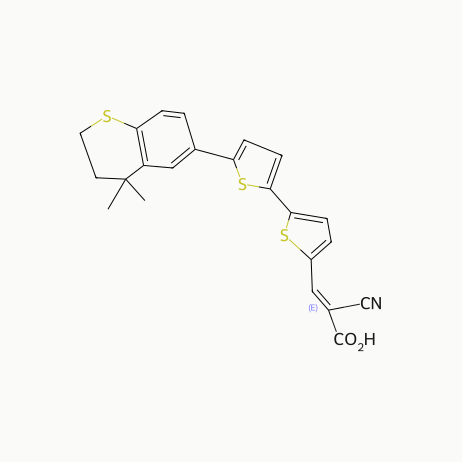 CC1(C)CCSc2ccc(-c3ccc(-c4ccc(/C=C(\C#N)C(=O)O)s4)s3)cc21